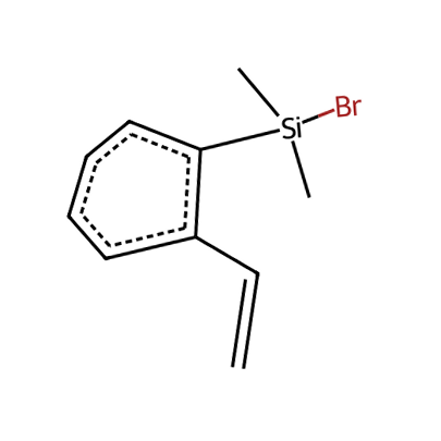 C=Cc1ccccc1[Si](C)(C)Br